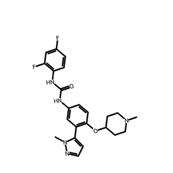 CN1CCC(Oc2ccc(NC(=O)Nc3ccc(F)cc3F)cc2-c2ccnn2C)CC1